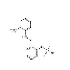 [CH2]c1ccccc1NCc1ccccc1OC(F)(F)F